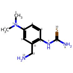 CN(C)c1ccc(NC(N)=S)c(CN)c1